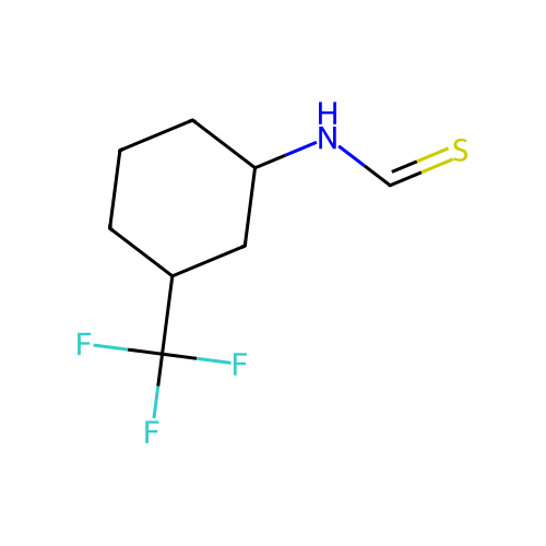 FC(F)(F)C1CCCC(NC=S)C1